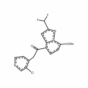 COc1ccc(C(=O)Cc2ccncc2Cl)c2cc(C(F)F)nn12